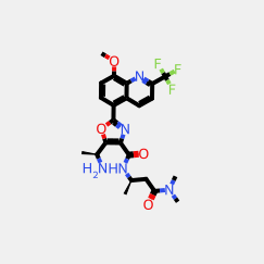 COc1ccc(-c2nc(C(=O)N[C@H](C)CC(=O)N(C)C)c([C@H](C)N)o2)c2ccc(C(F)(F)F)nc12